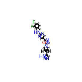 Fc1ccc(CNc2ncc(-c3nnc(N4C[C@@H]5C(c6cnn[nH]6)[C@@H]5C4)o3)cn2)cc1F